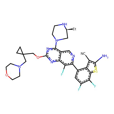 CC[C@H]1CN(c2nc(OCC3(CN4CCOCC4)CC3)nc3c(F)c(-c4cc(F)c(F)c5sc(N)c(C#N)c45)ncc23)CCN1